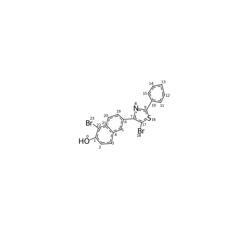 Oc1ccc2cc(-c3nc(-c4ccccc4)sc3Br)ccc2c1Br